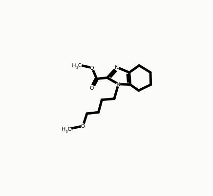 COCCCCn1c(C(=O)OC)nc2c1CCCC2